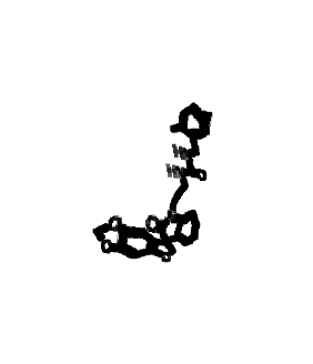 Cc1ccccc1CNC(=O)NCCN1C(=O)C2(COc3cc4c(cc32)OCO4)c2ccccc21